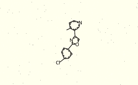 Cc1ccncc1-c1coc(-c2ccc(Cl)cc2)n1